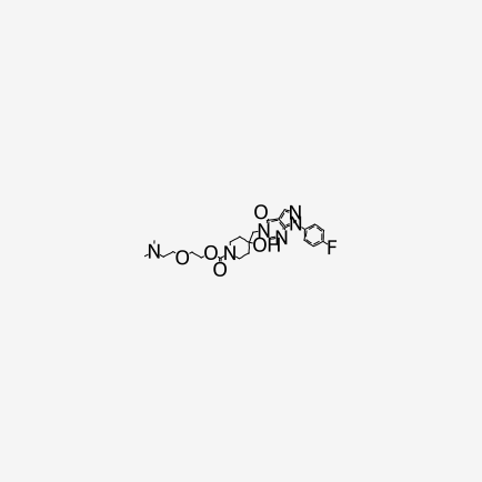 CN(C)CCOCCOC(=O)N1CCC(O)(Cn2cnc3c(cnn3-c3ccc(F)cc3)c2=O)CC1